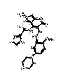 CNc1ccc(N2CCOCC2)cc1NCc1c(NC(C)c2cscn2)c2nn(C)cc2[nH]c1=O